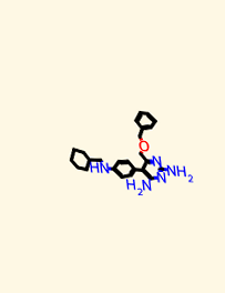 Nc1nc(N)c(-c2ccc(NCC3CCCCC3)cc2)c(COCc2ccccc2)n1